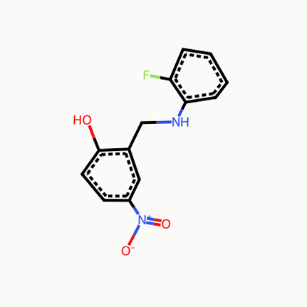 O=[N+]([O-])c1ccc(O)c(CNc2ccccc2F)c1